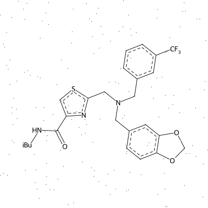 CCC(C)NC(=O)c1csc(CN(Cc2cccc(C(F)(F)F)c2)Cc2ccc3c(c2)OCO3)n1